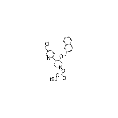 CC(C)(C)OC(=O)ON1CCC(c2ccc(CCl)cn2)C(OCc2ccc3ccccc3c2)C1